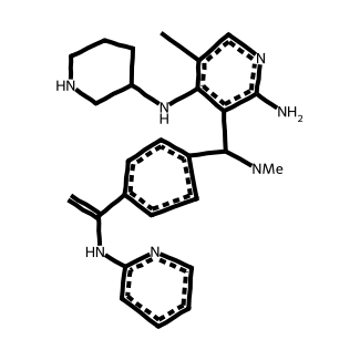 C=C(Nc1ccccn1)c1ccc(C(NC)c2c(N)ncc(C)c2NC2CCCNC2)cc1